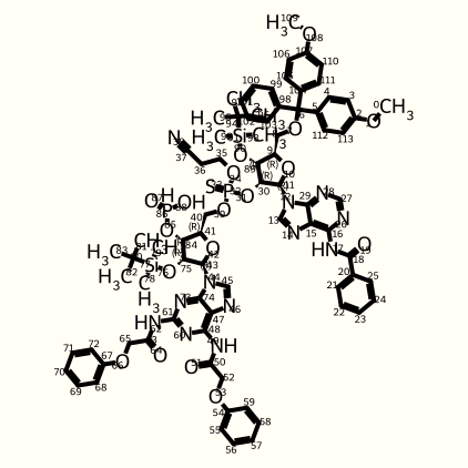 COc1ccc(C(OC[C@H]2O[C@@H](n3cnc4c(NC(=O)c5ccccc5)ncnc43)[C@H](OP(=S)(OCCC#N)OC[C@H]3O[C@@H](n4cnc5c(NC(=O)COc6ccccc6)nc(NC(=O)COc6ccccc6)nc54)[C@H](O[Si](C)(C)C(C)(C)C)[C@@H]3O[PH](=O)O)[C@@H]2O[Si](C)(C)C(C)(C)C)(c2ccccc2)c2ccc(OC)cc2)cc1